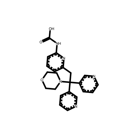 O=C(O)Nc1cccc(CC(c2cccnc2)(c2cccnc2)N2CCOCC2)n1